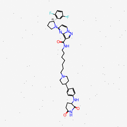 O=C1CCC(Nc2ccc(C3CCN(CCCCCCCNC(=O)c4cnn5ccc(N6CCC[C@@H]6c6cc(F)ccc6F)nc45)CC3)cc2)C(=O)N1